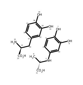 C[C@H](Nc1ccc(O)c(O)c1)C(=O)O.N[C@@H](Cc1ccc(O)c(O)c1)C(=O)O